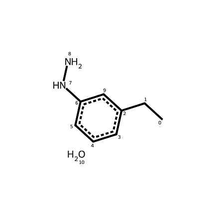 CCc1cccc(NN)c1.O